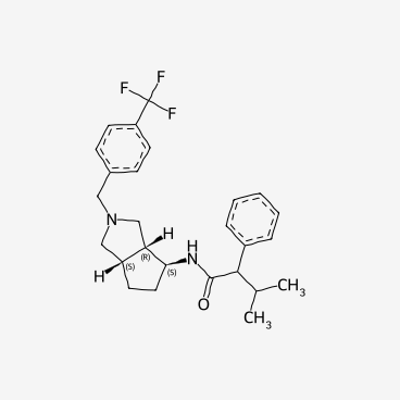 CC(C)C(C(=O)N[C@H]1CC[C@@H]2CN(Cc3ccc(C(F)(F)F)cc3)C[C@@H]21)c1ccccc1